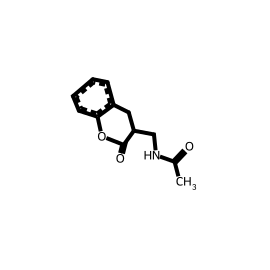 CC(=O)NCC1Cc2ccccc2OC1=O